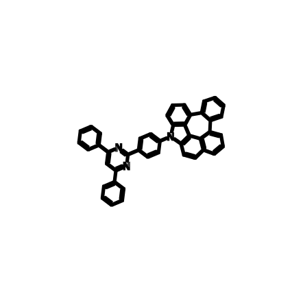 c1ccc(-c2cc(-c3ccccc3)nc(-c3ccc(-n4c5cccc6c5c5c7c(cccc7ccc54)-c4ccccc4-6)cc3)n2)cc1